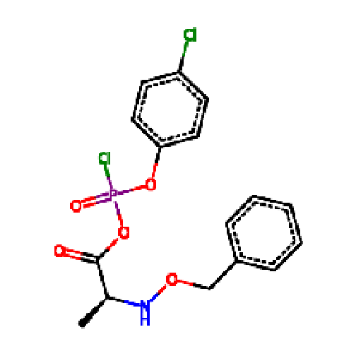 C[C@H](NOCc1ccccc1)C(=O)OP(=O)(Cl)Oc1ccc(Cl)cc1